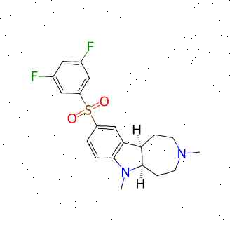 CN1CC[C@@H]2c3cc(S(=O)(=O)c4cc(F)cc(F)c4)ccc3N(C)[C@@H]2CC1